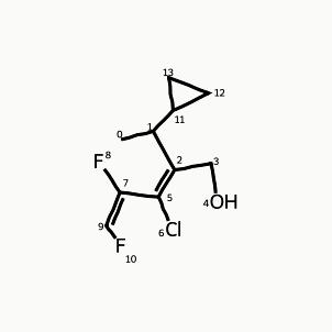 CC(/C(CO)=C(Cl)\C(F)=C/F)C1CC1